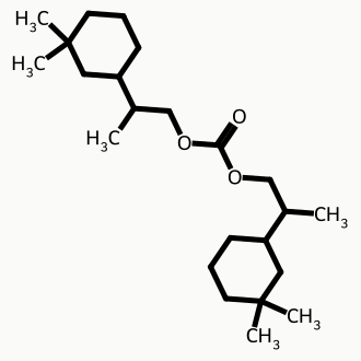 CC(COC(=O)OCC(C)C1CCCC(C)(C)C1)C1CCCC(C)(C)C1